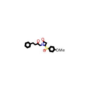 COc1ccc([S+]([O-])C2CC(=O)N2CC(=O)CCc2ccccc2)cc1